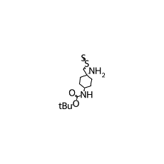 CC(C)(C)OC(=O)N[C@H]1CC[C@@](N)(C=S=S)CC1